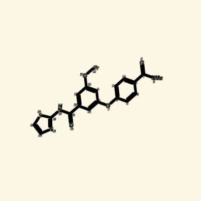 CNC(=O)c1ccc(Oc2cc(OC(C)C)cc(C(=O)Nc3nccs3)c2)cc1